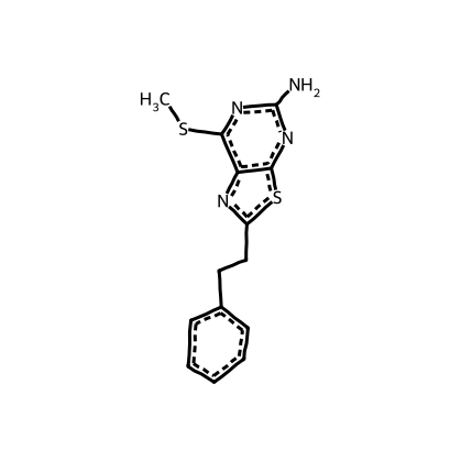 CSc1nc(N)nc2sc(CCc3ccccc3)nc12